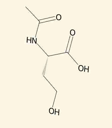 CC(=O)N[C@@H](CCO)C(=O)O